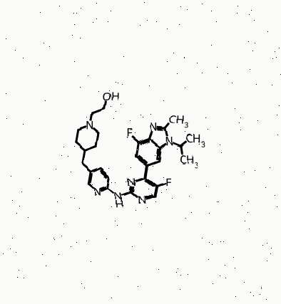 Cc1nc2c(F)cc(-c3nc(Nc4ccc(CC5CCN(CCO)CC5)cn4)ncc3F)cc2n1C(C)C